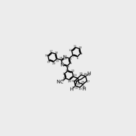 N#Cc1cc(-c2cc(-c3ccccc3)nc(-c3ccccc3)n2)cc(C23C[C@H]4C[C@@H](C2)C[C@@H](C3)C4)c1